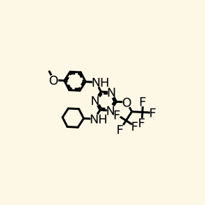 COc1ccc(Nc2nc(NC3CCCCC3)nc(OC(C(F)(F)F)C(F)(F)F)n2)cc1